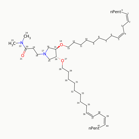 CCCCC/C=C\C/C=C\CCCCCCCCO[C@@H]1CN(CCC(=O)N(C)C)C[C@H]1OCCCCCCCC/C=C\C/C=C\CCCCC